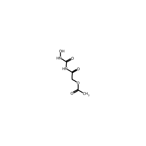 CC(=O)OCC(=O)NC(=O)NO